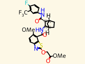 COC(=O)COc1nc2ccc(OC)c(C(=O)N[C@@H]3[C@H]4CC[C@H](C4)[C@@H]3C(=O)Nc3ccc(F)c(C(F)(F)F)c3)c2s1